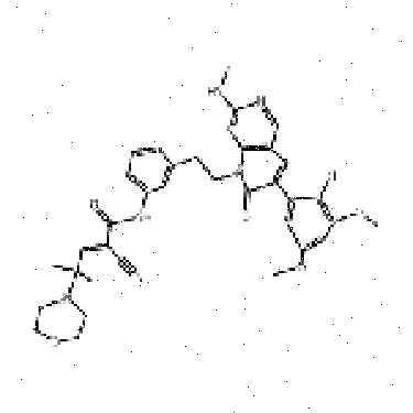 CNc1ncc2cc(-c3cc(OC)cc(OC)c3Cl)c(=O)n(CCc3cccc(NC(=O)/C(C#N)=C/C(C)(C)N4CCOCC4)c3)c2n1